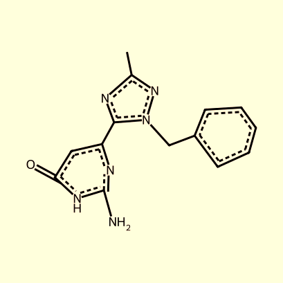 Cc1nc(-c2cc(=O)[nH]c(N)n2)n(Cc2ccccc2)n1